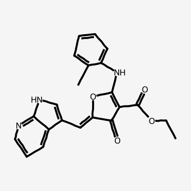 CCOC(=O)C1=C(Nc2ccccc2C)OC(=Cc2c[nH]c3ncccc23)C1=O